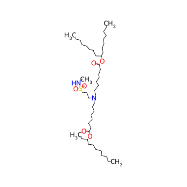 CCCCCCCCC(CC)OC(=O)CCCCCCCN(CCCCCCCC(=O)OC(CCCCCCCC)CCCCCCCC)CCCS(=O)(=O)NC